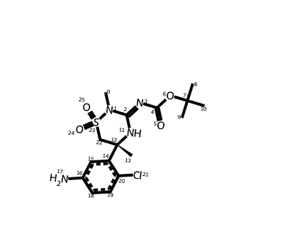 CN1/C(=N/C(=O)OC(C)(C)C)N[C@](C)(c2cc(N)ccc2Cl)CS1(=O)=O